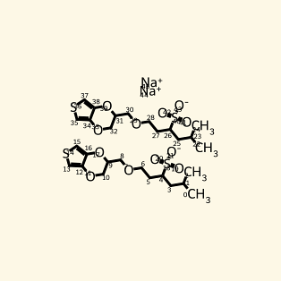 CC(C)CC(CCOCC1COc2cscc2O1)S(=O)(=O)[O-].CC(C)CC(CCOCC1COc2cscc2O1)S(=O)(=O)[O-].[Na+].[Na+]